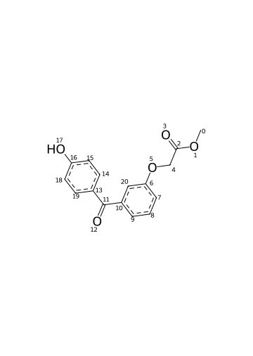 COC(=O)COc1cccc(C(=O)c2ccc(O)cc2)c1